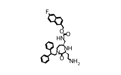 NCC[C@@H]1N[C@H](CNC(=O)OCc2ccc3cc(F)ccc3c2)CCN(CC(c2ccccc2)c2ccccc2)C1=O